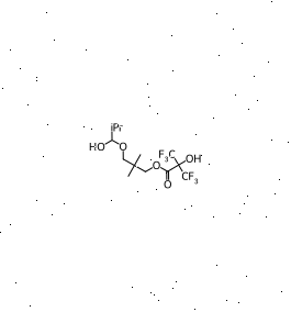 CC(C)C(O)OCC(C)(C)COC(=O)C(O)(C(F)(F)F)C(F)(F)F